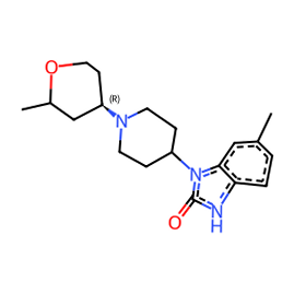 Cc1ccc2[nH]c(=O)n(C3CCN([C@@H]4CCOC(C)C4)CC3)c2c1